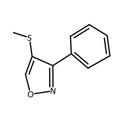 CSc1conc1-c1ccccc1